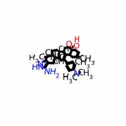 CN(C)c1ccc(C2=C3C4CC(C)(C)CC[C@]4(C(=O)O)CC[C@@]3(C)[C@]3(C)CCC4C(C)(C)c5n[nH]c(N)c5C[C@]4(C)C3C2)cc1